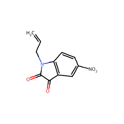 C=CCN1C(=O)C(=O)c2cc([N+](=O)[O-])ccc21